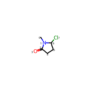 CN1C(=O)C[CH]C1Cl